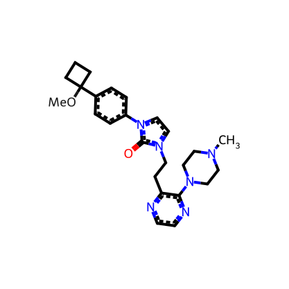 COC1(c2ccc(-n3ccn(CCc4nccnc4N4CCN(C)CC4)c3=O)cc2)CCC1